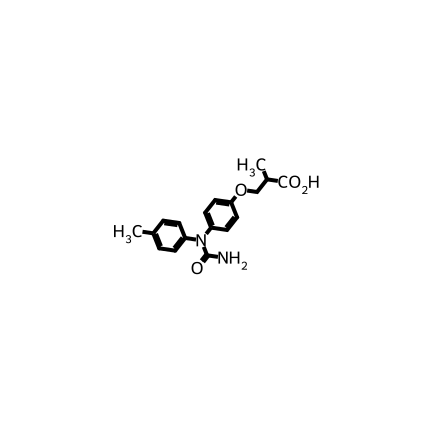 Cc1ccc(N(C(N)=O)c2ccc(OCC(C)C(=O)O)cc2)cc1